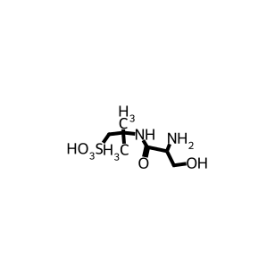 CC(C)(CS(=O)(=O)O)NC(=O)C(N)CO